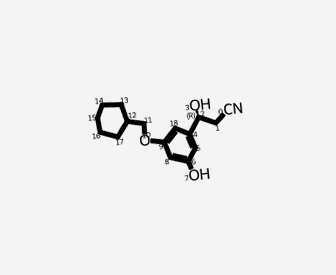 N#CC[C@@H](O)c1cc(O)cc(OCC2CCCCC2)c1